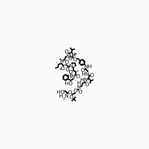 CC[C@H](C)[C@@H]([C@@H](CC(=O)N1CCC[C@H]1[C@H](OC)[C@@H](C)C(=O)N[C@H](C)[C@@H](O)c1ccccc1)OC)N(C)C(=O)CNC(=O)C(C(C)C)N(C)C(=O)OCc1ccc(NC(=O)CNC(=O)C(NC(=O)CCNC(=O)OCC(OC(N)CO)OC(C)(C)C)C(C)C)cc1